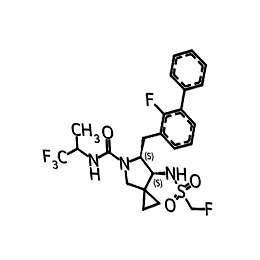 CC(NC(=O)N1CC2(CC2)[C@H](NS(=O)(=O)CF)[C@@H]1Cc1cccc(-c2ccccc2)c1F)C(F)(F)F